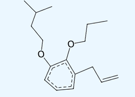 C=CCc1cccc(OCCC(C)C)c1OCCC